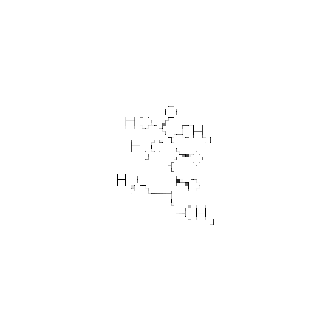 CCC(CC)C(=O)CC(=O)C(C)(C)C(=O)O